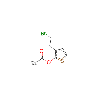 CCC(=O)Oc1sccc1CCBr